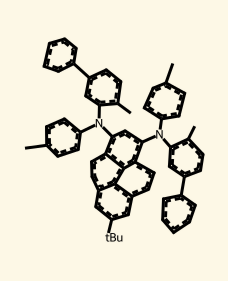 Cc1ccc(N(c2cc(-c3ccccc3)ccc2C)c2cc(N(c3ccc(C)cc3)c3cc(-c4ccccc4)ccc3C)c3ccc4cc(C(C)(C)C)cc5ccc2c3c54)cc1